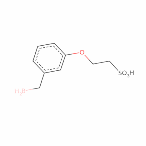 BCc1cccc(OCCS(=O)(=O)O)c1